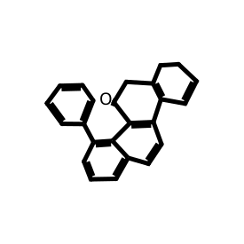 O=C1CC2=C(C=CCC2)c2ccc3cccc(-c4ccccc4)c3c21